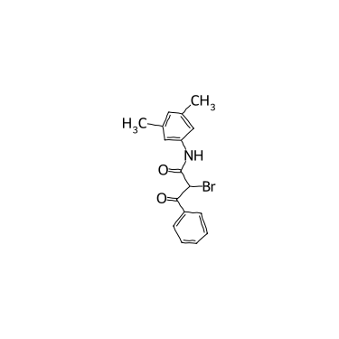 Cc1cc(C)cc(NC(=O)C(Br)C(=O)c2ccccc2)c1